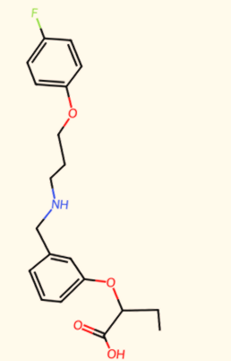 CCC(Oc1cccc(CNCCCOc2ccc(F)cc2)c1)C(=O)O